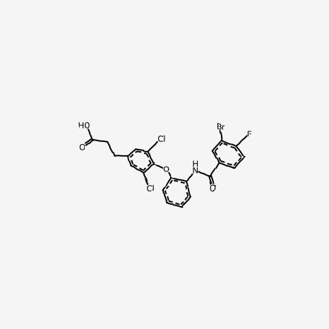 O=C(O)CCc1cc(Cl)c(Oc2ccccc2NC(=O)c2ccc(F)c(Br)c2)c(Cl)c1